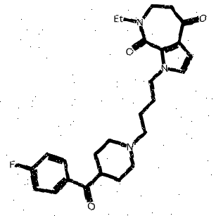 CCN1CCC(=O)c2ccn(CCCCN3CCC(C(=O)c4ccc(F)cc4)CC3)c2C1=O